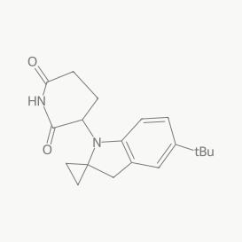 CC(C)(C)c1ccc2c(c1)CC1(CC1)N2C1CCC(=O)NC1=O